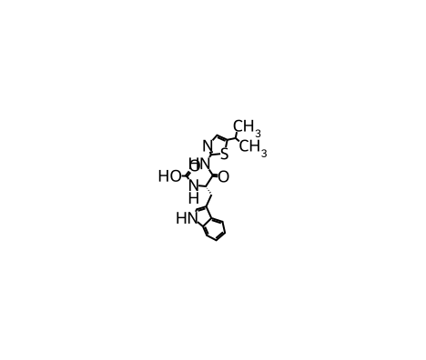 CC(C)c1cnc(NC(=O)[C@H](Cc2c[nH]c3ccccc23)NC(=O)O)s1